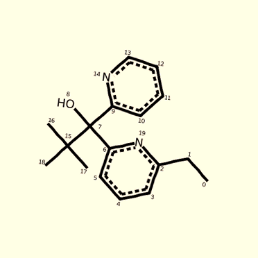 CCc1cccc(C(O)(c2ccccn2)C(C)(C)C)n1